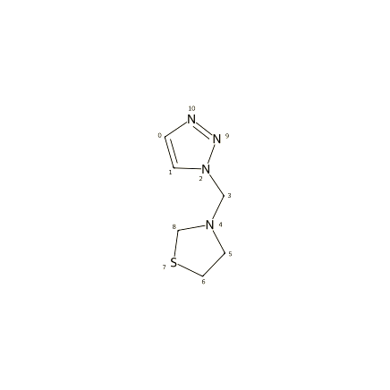 c1cn(CN2CCSC2)nn1